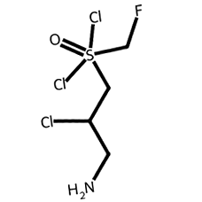 NCC(Cl)CS(=O)(Cl)(Cl)CF